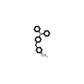 Cc1ccc(Cc2ccc(N(c3ccccc3)c3ccccc3)cc2)cc1